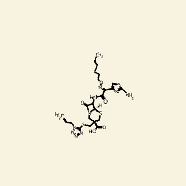 C=CCn1nnnc1SCC1(C(=O)O)CS[C@@H]2C(NC(=O)C(=NOCCCCCC)c3csc(N)n3)C(=O)N2C1